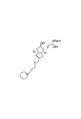 CCCCC[C@H](O)/C=C/[C@@H]1[C@H]2CC(CSCCCN3CCCCC3)=C[C@H]2C[C@H]1O